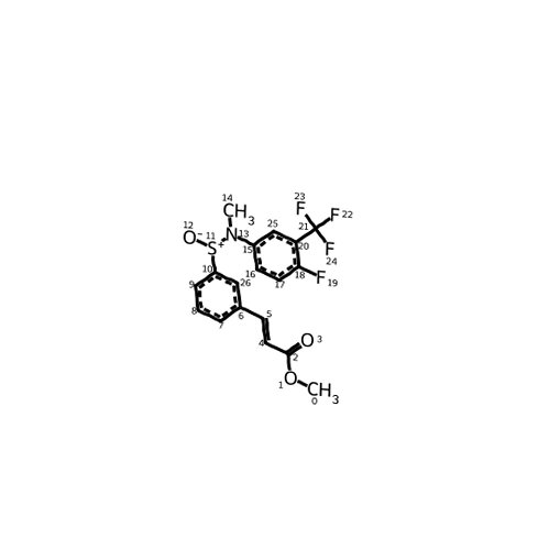 COC(=O)/C=C/c1cccc([S+]([O-])N(C)c2ccc(F)c(C(F)(F)F)c2)c1